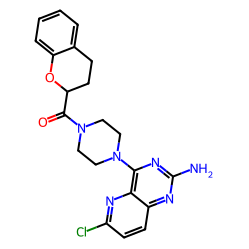 Nc1nc(N2CCN(C(=O)C3CCc4ccccc4O3)CC2)c2nc(Cl)ccc2n1